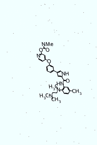 CNC(=O)Oc1cc(Oc2cccc(-c3c[nH]c(C(=O)Nc4cc(C)ccc4N(C)CCN(C)C)c3)c2)ccn1